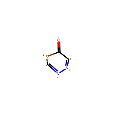 O=c1cnncs1